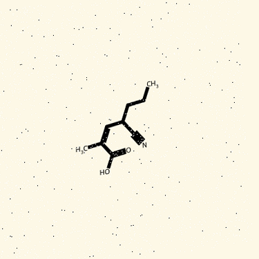 CCCC(C#N)C=C(C)C(=O)O